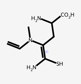 C=CN(C)/C(CC(N)C(=O)O)=C(\N)S